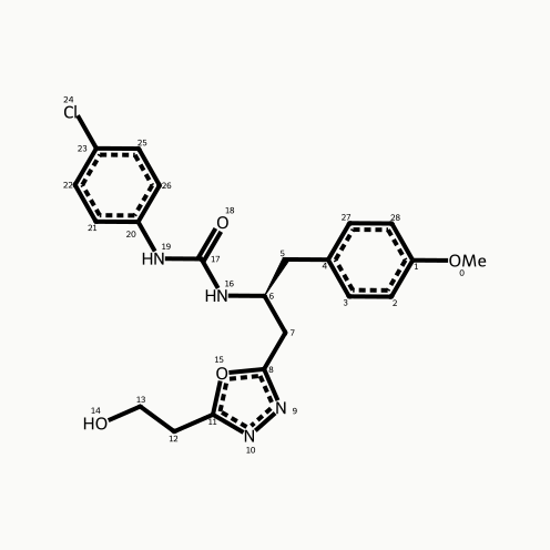 COc1ccc(C[C@@H](Cc2nnc(CCO)o2)NC(=O)Nc2ccc(Cl)cc2)cc1